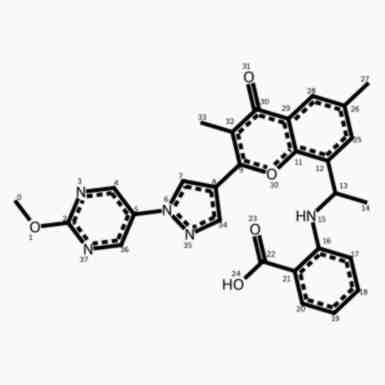 COc1ncc(-n2cc(-c3oc4c(C(C)Nc5ccccc5C(=O)O)cc(C)cc4c(=O)c3C)cn2)cn1